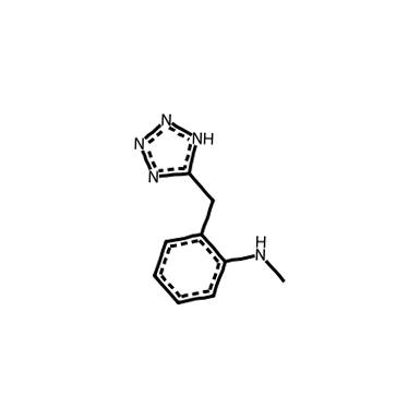 CNc1ccccc1Cc1nnn[nH]1